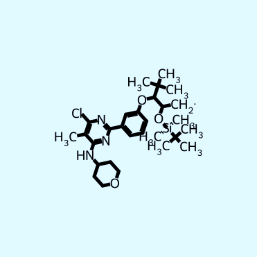 [CH2]C(O[Si](C)(C)C(C)(C)C)C(Oc1cccc(-c2nc(Cl)c(C)c(NC3CCOCC3)n2)c1)C(C)(C)C